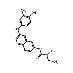 CCN(S)C(=O)Nc1ccc2ncc(Nc3ccc(O)c(C)c3)nc2n1